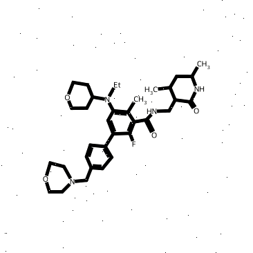 CCN(c1cc(-c2ccc(CN3CCOCC3)cc2)c(F)c(C(=O)NCC2C(=O)NC(C)CC2C)c1C)C1CCOCC1